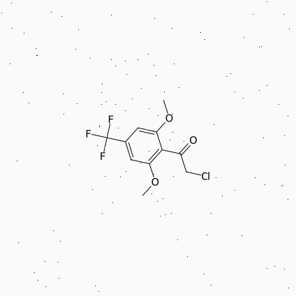 COc1cc(C(F)(F)F)cc(OC)c1C(=O)CCl